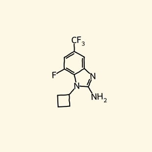 Nc1nc2cc(C(F)(F)F)cc(F)c2n1C1CCC1